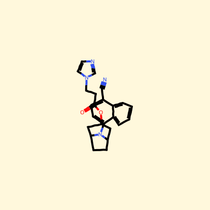 N#Cc1ccc(N2C3CCC2CC(OC(=O)CCn2ccnc2)C3)c2ccccc12